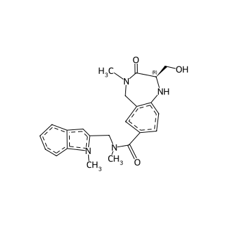 CN(Cc1cc2ccccc2n1C)C(=O)c1ccc2c(c1)CN(C)C(=O)[C@@H](CO)N2